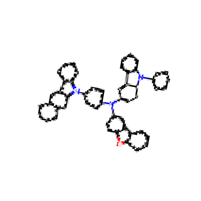 C1=C2c3ccccc3N(c3ccccc3)C2CC=C1N(c1ccc(-n2c3ccccc3c3cc4ccccc4cc32)cc1)c1ccc2oc3ccccc3c2c1